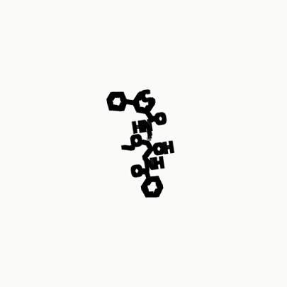 CCO[C@H](CNC(=O)c1cccc(-c2ccccc2)c1)[C@@H](O)CNC(=O)c1ccccc1